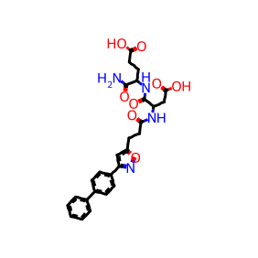 NC(=O)C(CCC(=O)O)NC(=O)C(CC(=O)O)NC(=O)CCc1cc(-c2ccc(-c3ccccc3)cc2)no1